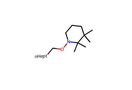 CCCCCCCCON1CCCC(C)(C)C1(C)C